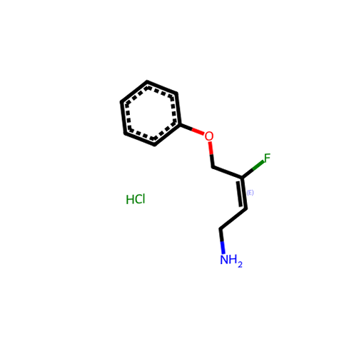 Cl.NC/C=C(/F)COc1ccccc1